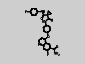 NC(=O)c1cc2c(Oc3ccc(NC(=O)C4(C(=O)Nc5ccc(F)cc5)CC4)cc3)ccnc2cc1F